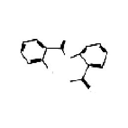 CC(=O)Oc1ccccc1C(=O)Oc1ccccc1C(=O)Cl